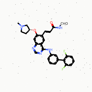 CN1CC[C@@H](Oc2cc3ncnc(Nc4cccc(-c5c(F)cccc5F)c4)c3cc2C=CC(=O)NC=O)C1